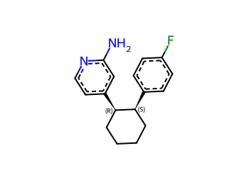 Nc1cc([C@@H]2CCCC[C@@H]2c2ccc(F)cc2)ccn1